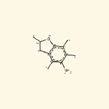 Cc1c(C)c2c(c(C)c1N)CC(C)O2